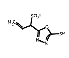 C=CC(c1nnc(S)o1)S(=O)(=O)O